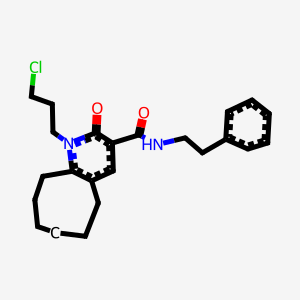 O=C(NCCc1ccccc1)c1cc2c(n(CCCCl)c1=O)CCCCCC2